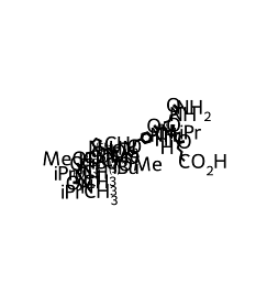 CC[C@H](C)[C@@H]([C@@H](CC(=O)N1CCC[C@H]1[C@H](OC)[C@@H](C)C(=O)N(C)[C@@H]([C@@H](C)CC)[C@@H](CC(=O)NOCc1ccc(NC(=O)[C@@H](CCCNC(N)=O)NC(=O)C(NC(=O)CCCC(=O)O)C(C)C)cc1)OC)OC)N(C)C(=O)[C@@H](NC(=O)C(C(C)C)N(C)C)C(C)C